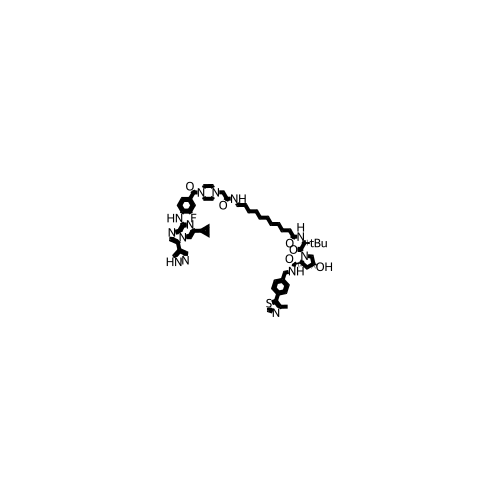 Cc1ncsc1-c1ccc(CNC(=O)[C@@H]2C[C@@H](O)CN2C(=O)[C@@H](NC(=O)CCCCCCCCCCNC(=O)CN2CCN(C(=O)c3ccc(Nc4nc(C5CC5)cn5c(-c6cn[nH]c6)cnc45)c(F)c3)CC2)C(C)(C)C)cc1